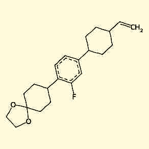 C=CC1CCC(c2ccc(C3CCC4(CC3)OCCO4)c(F)c2)CC1